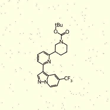 CC(C)(C)OC(=O)N1CCCC(c2cccc(-c3cnn4ccc(C(F)(F)F)cc34)n2)C1